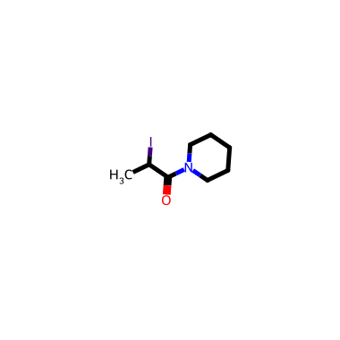 CC(I)C(=O)N1CCCCC1